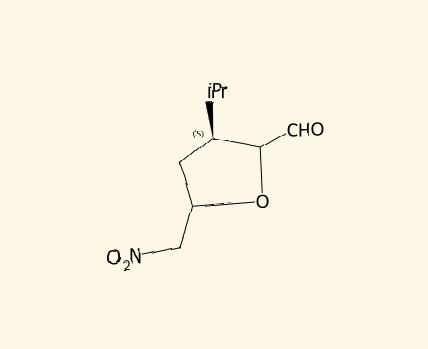 CC(C)[C@@H]1CC(C[N+](=O)[O-])OC1C=O